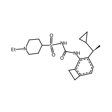 CCN1CCC(S(=O)(=O)NC(=O)Nc2c([C@H](C)C3CC3)ccc3c2CC3)CC1